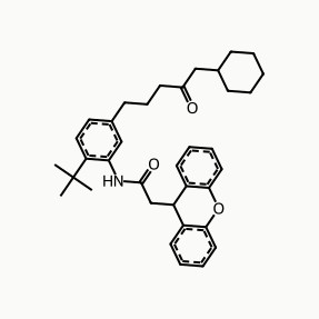 CC(C)(C)c1ccc(CCCC(=O)CC2CCCCC2)cc1NC(=O)CC1c2ccccc2Oc2ccccc21